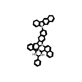 C1=CC2=CC=C(N3C4=Cc5ccc(-n6c7c(c8cc9c(cc86)C=CCC9)CCC=C7)cc5CC4C4C=CCCC43)C(C3=NC(c4ccccc4)NC(c4ccccc4)N3)C2C=C1